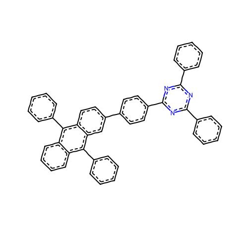 c1ccc(-c2nc(-c3ccccc3)nc(-c3ccc(-c4ccc5c(-c6ccccc6)c6ccccc6c(-c6ccccc6)c5c4)cc3)n2)cc1